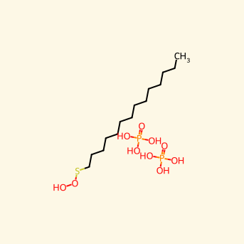 CCCCCCCCCCCCCCSOO.O=P(O)(O)O.O=P(O)(O)O